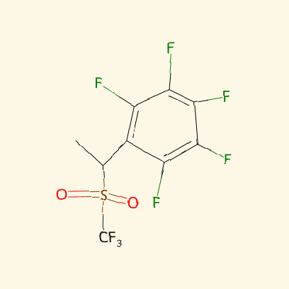 CC(c1c(F)c(F)c(F)c(F)c1F)S(=O)(=O)C(F)(F)F